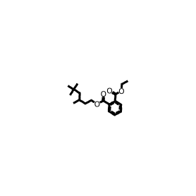 CCOC(=O)c1ccccc1C(=O)OCCC(C)CC(C)(C)C